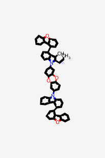 C/C=C\c1c(C)c2c(-c3cccc4oc5ccccc5c34)cccc2n1-c1ccc2c(c1)Oc1ccc(-n3c4ccccc4c4c(-c5cccc6oc7ccccc7c56)cccc43)cc1O2